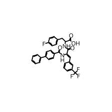 O=C(NC(Cc1ccc(F)cc1)C(=O)O)/C(=C/c1cccc(C(F)(F)F)c1)NC(=O)c1ccc(-c2ccccc2)cc1